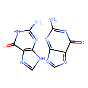 NC1=NC(=O)C2=NC=NC2=N1.Nc1nc2[nH]cnc2c(=O)[nH]1